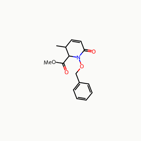 COC(=O)C1C(C)C=CC(=O)N1OCc1ccccc1